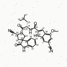 COc1cc(C#N)cc2[nH]c(C(=O)N[C@@H](CC(C)C)C(=O)N3C[C@]4(C[C@H]3C#N)C(=O)Nc3ccccc34)cc12